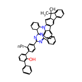 CCCc1cc(-c2nc(-c3ccccc3)nc(C3CC=CC=C3n3c4ccccc4c4cc5c(cc43)C(C)(C)c3ccccc3-5)n2)ccc1-c1cccc(-c2ccccc2)c1O